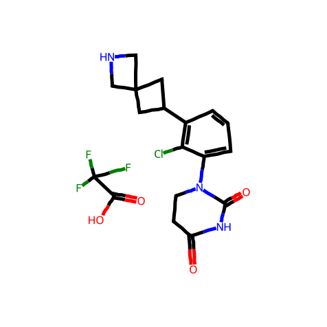 O=C(O)C(F)(F)F.O=C1CCN(c2cccc(C3CC4(CNC4)C3)c2Cl)C(=O)N1